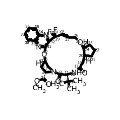 COC(=O)[C@@H]1C[C@@H]2CN1C(=O)[C@H](C(C)(C)C)NC(=O)C[C@@H]1CCC[C@H]1OC/C=C/C(F)(F)c1nc3ccccc3nc1O2